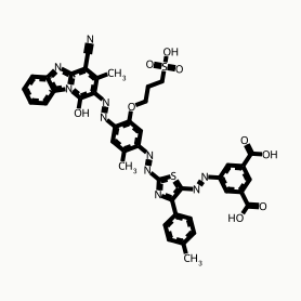 Cc1ccc(-c2nc(N=Nc3cc(OCCCS(=O)(=O)O)c(N=Nc4c(C)c(C#N)c5nc6ccccc6n5c4O)cc3C)sc2N=Nc2cc(C(=O)O)cc(C(=O)O)c2)cc1